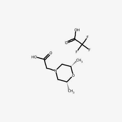 C[C@@H]1CN(CC(=O)O)C[C@H](C)O1.O=C(O)C(F)(F)F